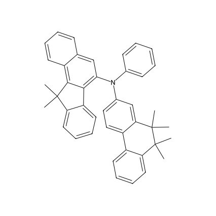 CC1(C)c2ccccc2-c2c(N(c3ccccc3)c3ccc4c(c3)C(C)(C)C(C)(C)c3ccccc3-4)cc3ccccc3c21